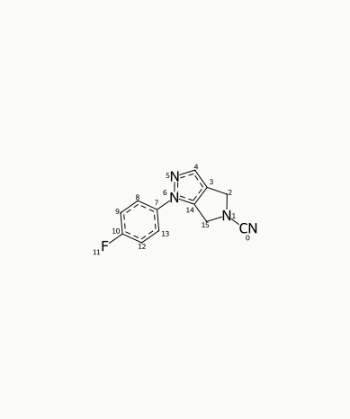 N#CN1Cc2cnn(-c3ccc(F)cc3)c2C1